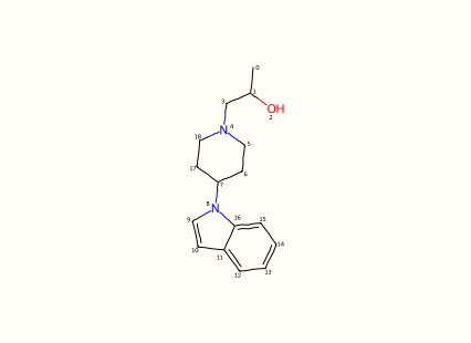 CC(O)CN1CCC(n2ccc3ccccc32)CC1